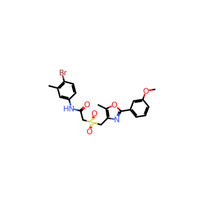 COc1cccc(-c2nc(CS(=O)(=O)CC(=O)Nc3ccc(Br)c(C)c3)c(C)o2)c1